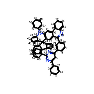 c1ccc(-c2cc(-c3cccc(-c4nc5ccccc5c5cc6c(cc45)C4(c5ccccc5-c5ccccc54)c4ccccc4N6c4ccccc4)c3)nc(-c3ccccc3)n2)cc1